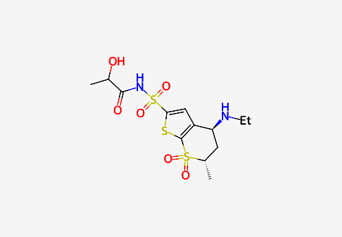 CCN[C@H]1C[C@H](C)S(=O)(=O)c2sc(S(=O)(=O)NC(=O)C(C)O)cc21